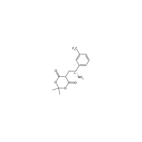 CC1(C)OC(=O)C(C[C@@H](N)c2cccc(C(F)(F)F)c2)C(=O)O1